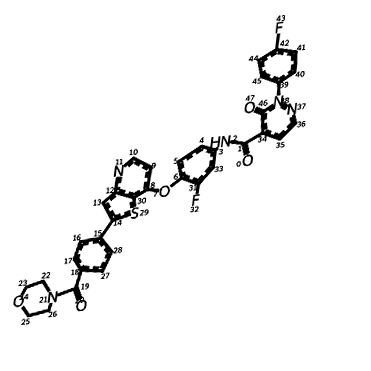 O=C(Nc1ccc(Oc2ccnc3cc(-c4ccc(C(=O)N5CCOCC5)cc4)sc23)c(F)c1)c1ccnn(-c2ccc(F)cc2)c1=O